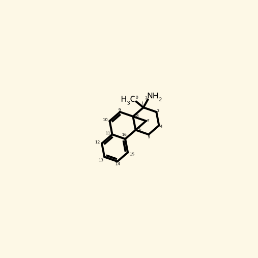 CC1(N)CCCC23CC12C=Cc1ccccc13